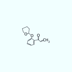 C=CC(=O)c1ccccc1OC1CCCCO1